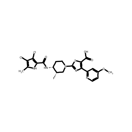 COc1ccnc(-c2nc(N3CC[C@@H](NC(=O)c4[nH]c(C)c(Cl)c4Cl)[C@@H](F)C3)sc2C(=O)O)c1